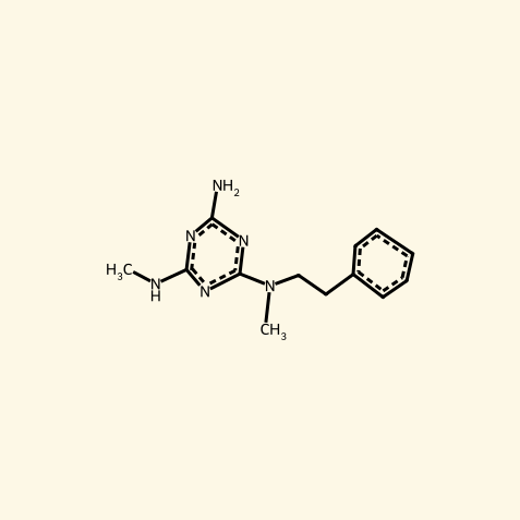 CNc1nc(N)nc(N(C)CCc2ccccc2)n1